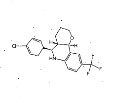 FC(F)(F)c1ccc2c(c1)[C@H]1OCCC[C@H]1[C@H](C1C=CC(Cl)=CC1)N2